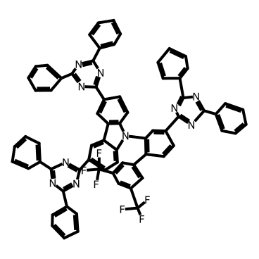 FC(F)(F)c1cc(-c2ccc(-c3nc(-c4ccccc4)nc(-c4ccccc4)n3)cc2-n2c3ccc(-c4nc(-c5ccccc5)nc(-c5ccccc5)n4)cc3c3cc(-c4nc(-c5ccccc5)nc(-c5ccccc5)n4)ccc32)cc(C(F)(F)F)c1